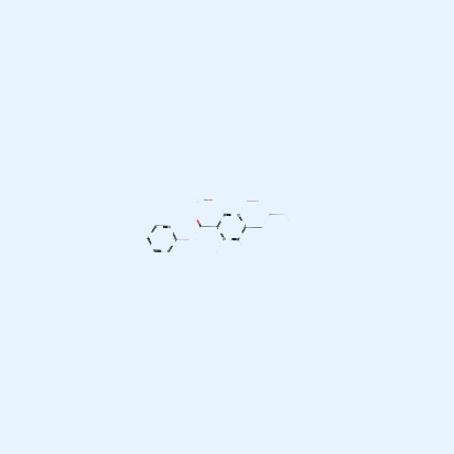 CCCCOc1c2c(c(F)c(C)c1C(=O)Oc1ccccc1)CC(CO)OC2